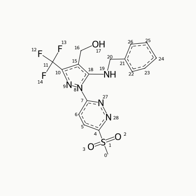 CS(=O)(=O)c1ccc(-n2nc(C(F)(F)F)c(CO)c2NCc2ccccc2)nn1